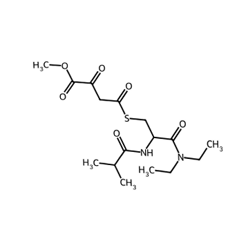 CCN(CC)C(=O)C(CSC(=O)CC(=O)C(=O)OC)NC(=O)C(C)C